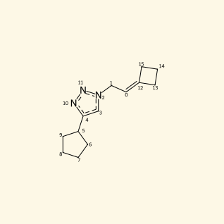 C(Cn1cc(C2CCCC2)nn1)=C1CCC1